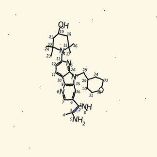 CN/C(=C(/C)N)c1cnc2c3ccc(N4C(C)(C)CC(O)CC4(C)C)nc3n(CC3CCOCC3)c2c1